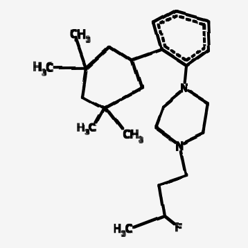 CC(F)CCN1CCN(c2ccccc2C2CC(C)(C)CC(C)(C)C2)CC1